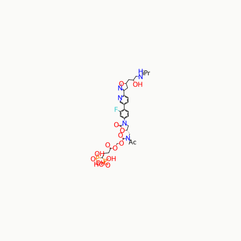 CC(=O)N(C[C@H]1CN(c2ccc(-c3ccc(C4=NOC(CC(O)CNC(C)C)C4)nc3)c(F)c2)C(=O)O1)C(=O)OCOC(=O)CCC(P(=O)(O)O)P(=O)(O)O